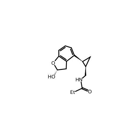 CCC(=O)NC[C@@H]1C[C@@H]1c1cccc2c1C[C@H](O)O2